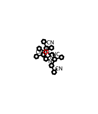 N#Cc1ccccc1-c1ccc2c(c1)c1cc(-c3ccccc3C#N)ccc1n2-c1cccnc1-c1c(-c2nc(-c3ccccc3)nc(-c3ccccc3)n2)cccc1-n1c2ccc(-c3ccccc3C#N)cc2c2cc(-c3ccccc3C#N)ccc21